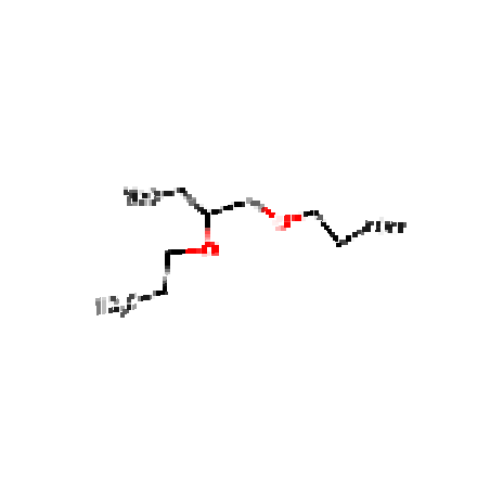 CCCCCCCCCCOCC(COC)OCCC(=O)O